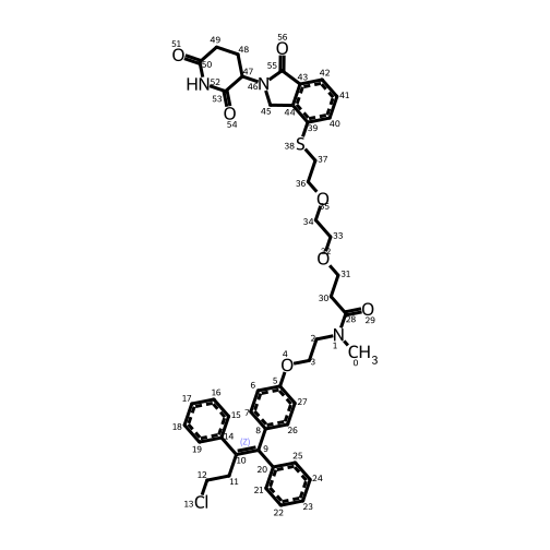 CN(CCOc1ccc(/C(=C(/CCCl)c2ccccc2)c2ccccc2)cc1)C(=O)CCOCCOCCSc1cccc2c1CN(C1CCC(=O)NC1=O)C2=O